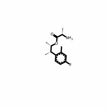 Cc1cc(F)ccc1[C@H](C)[C@H](C)OC(=O)[C@H](C)N